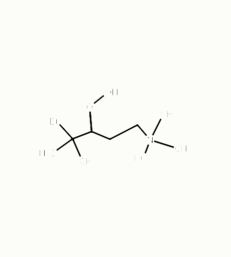 CCC(C)(C)C(CC[N+](C)(C)C)OO